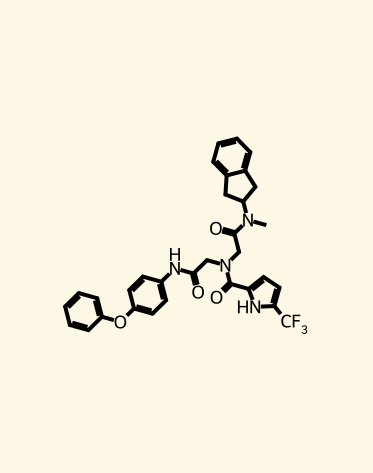 CN(C(=O)CN(CC(=O)Nc1ccc(Oc2ccccc2)cc1)C(=O)c1ccc(C(F)(F)F)[nH]1)C1Cc2ccccc2C1